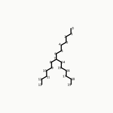 CCCCCCCC(CCCCCC)CCCCCC